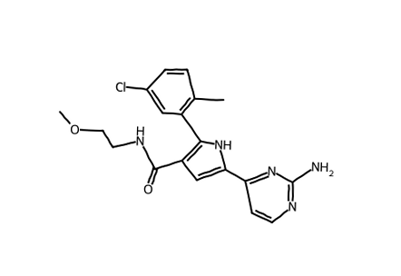 COCCNC(=O)c1cc(-c2ccnc(N)n2)[nH]c1-c1cc(Cl)ccc1C